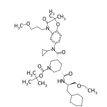 CCOC[C@@H](CC1CCCCC1)NC(=O)[C@H]1C[C@@H](C(=O)N(c2ccc3c(c2)N(CCCOC)C(=O)C(C)(C)O3)C2CC2)CN(C(=O)OC(C)(C)C)C1